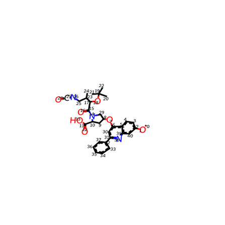 COc1ccc2c(OC3CC(C(=O)O)N(C(=O)C(OC(C)(C)C)C(C)CN=C=O)C3)cc(-c3ccccc3)nc2c1